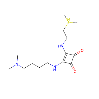 CN(C)CCCCNc1c(NCC[SH](C)C)c(=O)c1=O